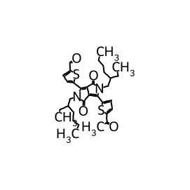 CCCCC(CC)CN1C(=O)C2=C(c3ccc(C(C)=O)s3)N(CC(CC)CCCC)C(=O)C2=C1c1ccc(C=O)s1